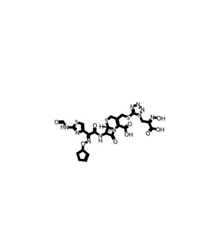 O=CNc1nc(C(=NOC2C=CCC2)C(=O)NC2C(=O)N3C(C(=O)O)=C(CSc4nnnn4CC(=NO)C(=O)O)CS[C@@H]23)cs1